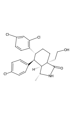 C[C@H]1NC(=O)[C@]2(CCO)CC[C@@H](c3ccc(Cl)cc3Cl)[C@H](c3ccc(Cl)cc3)[C@H]12